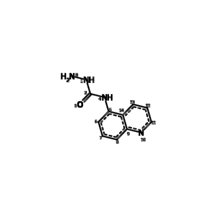 NNC(=O)Nc1cccc2ncccc12